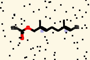 CC/C=C(\C)CC/C=C(\C)COC(=O)C(C)(C)C